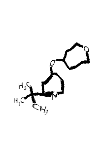 CC(C)(C)c1cc(OC2CCOCC2)ccn1